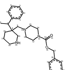 CC(c1ccccc1)C1(CN2CCN(C(=O)OCc3ccccc3)CC2)CCCNC1